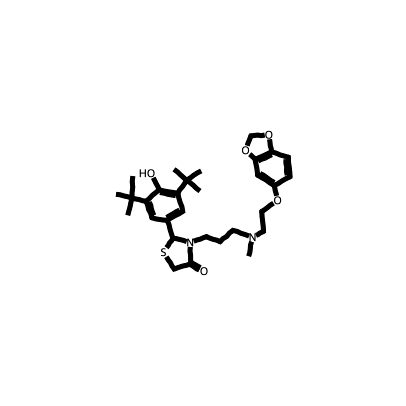 CN(CCCN1C(=O)CSC1c1cc(C(C)(C)C)c(O)c(C(C)(C)C)c1)CCOc1ccc2c(c1)OCO2